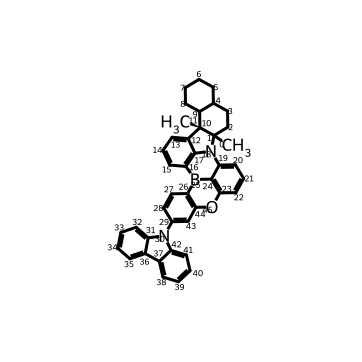 CC12CCC3CCCCC3[C@@]1(C)c1cccc3c1N2c1cccc2c1B3c1ccc(-n3c4ccccc4c4ccccc43)cc1O2